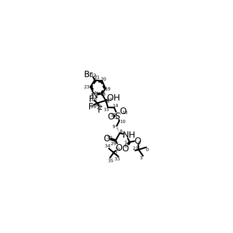 CC(C)(C)OC(=O)N[C@@H](CCS(=O)(=O)CCC(O)(c1ccc(Br)cn1)C(F)(F)F)C(=O)OC(C)(C)C